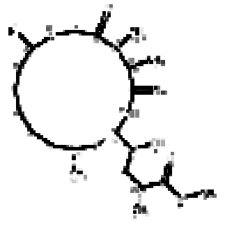 CCCCNC(=O)[C@H](C)C[C@H](O)[C@@H]1C[C@H](C)CCCCCC(CC)OCC(=O)N(C)[C@@H](C)C(=O)N1